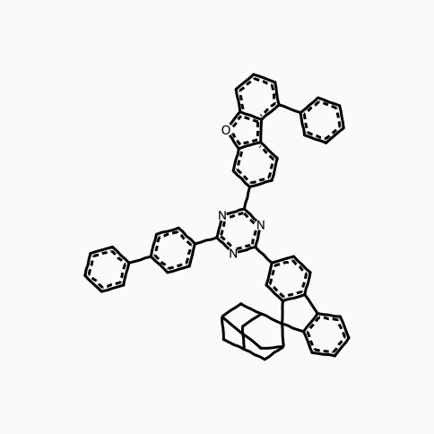 c1ccc(-c2ccc(-c3nc(-c4ccc5c(c4)C4(c6ccccc6-5)C5CC6CC(C5)CC4C6)nc(-c4ccc5c(c4)oc4cccc(-c6ccccc6)c45)n3)cc2)cc1